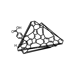 CN1CC23c4c5c6c7c8c9c(c%10c%11c2c2c4c4c%12c5c5c6c6c8c8c%13c9c9c%10c%10c%11c%11c2c2c4c4c%12c%12c5c5c6c8c6c8c%13c9c9c%10c%10c%11c2c2c4c4c%12c5c6c5c8c9c%10c2c45)C73C1c1ccc(C(=O)O)cc1